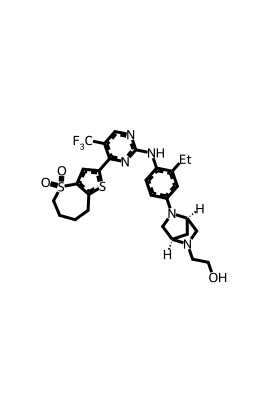 CCc1cc(N2C[C@H]3C[C@@H]2CN3CCO)ccc1Nc1ncc(C(F)(F)F)c(-c2cc3c(s2)CCCCS3(=O)=O)n1